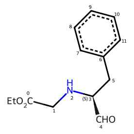 CCOC(=O)CN[C@H](C=O)Cc1ccccc1